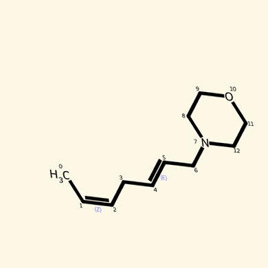 C/C=C\C/C=C/CN1CCOCC1